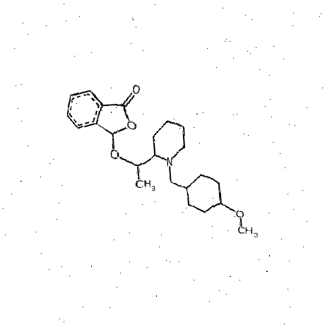 COC1CCC(CN2CCCCC2C(C)OC2OC(=O)c3ccccc32)CC1